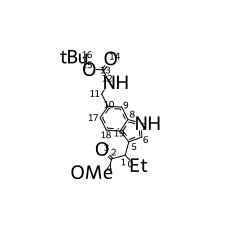 CCC(C(=O)OC)c1c[nH]c2cc(CNC(=O)OC(C)(C)C)ccc12